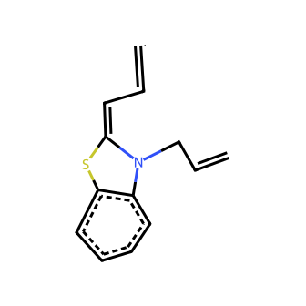 [CH]=C/C=C1/Sc2ccccc2N1CC=C